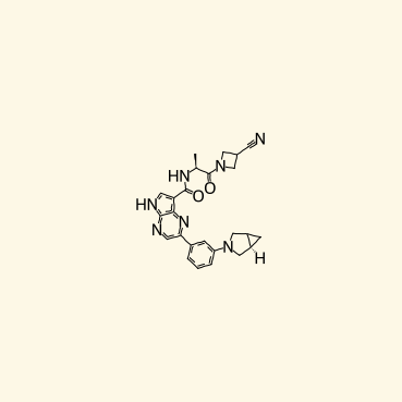 C[C@H](NC(=O)c1c[nH]c2ncc(-c3cccc(N4CC5C[C@H]5C4)c3)nc12)C(=O)N1CC(C#N)C1